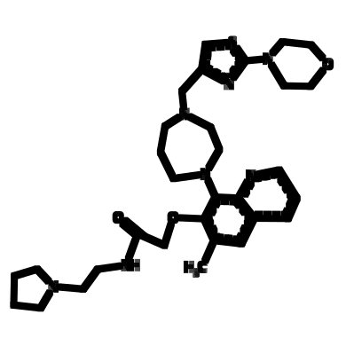 Cc1cc2cccnc2c(N2CCCN(Cc3csc(N4CCOCC4)n3)CC2)c1OCC(=O)NCCN1CCCC1